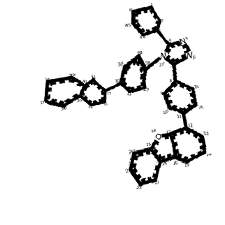 c1ccc(-c2nnc(-c3ccc(-c4cccc5c4oc4ccccc45)cc3)n2-c2ccc(-c3ccc4ccccc4c3)cc2)cc1